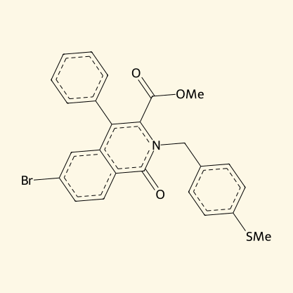 COC(=O)c1c(-c2ccccc2)c2cc(Br)ccc2c(=O)n1Cc1ccc(SC)cc1